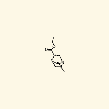 CCOC(=O)C1CN2CCN1C=C2C